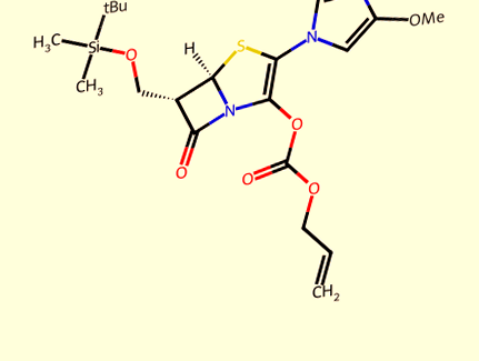 C=CCOC(=O)OC1=C(n2cnc(OC)c2)S[C@@H]2[C@@H](CO[Si](C)(C)C(C)(C)C)C(=O)N12